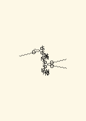 CCCCCCCCCCOCCCC1(CCCC)c2cc(C)sc2-c2sc(-c3cnc(-c4cc5c(s4)-c4sc(-c6ncc(C)c7nsnc67)cc4C5(CCOCCCCCCCCCC)CCOCCCCCCCCCC)c4nsnc34)cc21